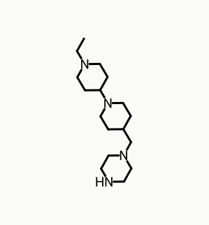 CCN1CCC(N2CCC(CN3CCNCC3)CC2)CC1